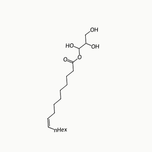 CCCCCC/C=C\CCCCCCCC(=O)OC(O)C(O)CO